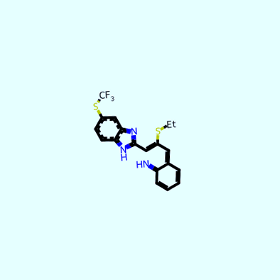 CCSC(=C\c1nc2cc(SC(F)(F)F)ccc2[nH]1)/C=C1/C=CC=CC1=N